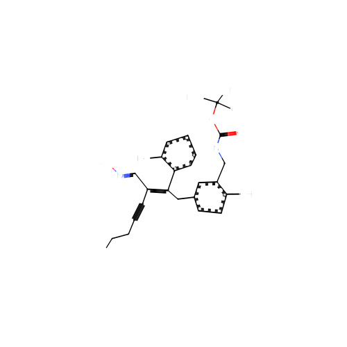 CCCC#CC(/C=N/O)=C(\Cc1ccc(C)c(CNC(=O)OC(C)(C)C)c1)c1ccccc1C